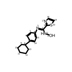 ONC(=Nc1ccc(C2CCCCC2)cc1)c1nccs1